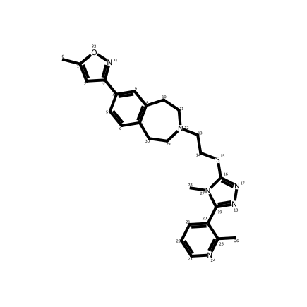 Cc1cc(-c2ccc3c(c2)CCN(CCSc2nnc(-c4cccnc4C)n2C)CC3)no1